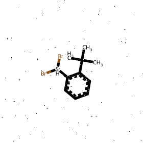 CC(C)(C)c1ccccc1[SiH](Br)Br